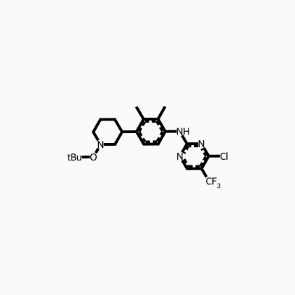 Cc1c(Nc2ncc(C(F)(F)F)c(Cl)n2)ccc(C2CCCN(OC(C)(C)C)C2)c1C